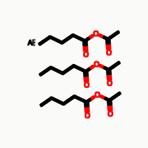 CCCCC(=O)OC(C)=O.CCCCC(=O)OC(C)=O.CCCCC(=O)OC(C)=O.[Al]